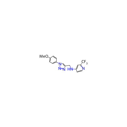 COc1ccc(-n2cc(CNc3ccnc(C(F)(F)F)c3)nn2)cc1